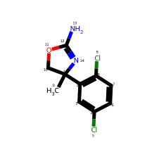 CC1(c2cc(Cl)ccc2Cl)COC(N)=N1